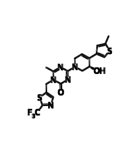 Cc1cc(C2=CCN(c3nc(C)n(Cc4cnc(C(F)(F)F)s4)c(=O)n3)C[C@@H]2O)cs1